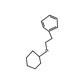 c1ccc(CC[P]C2CCCCC2)cc1